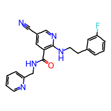 N#Cc1cnc(NCCc2cccc(F)c2)c(C(=O)NCc2ccccn2)c1